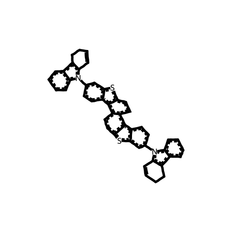 C1=Cc2c(c3ccccc3n2-c2ccc3c(c2)sc2ccc4c(ccc5sc6cc(-n7c8c(c9ccccc97)CCC=C8)ccc6c54)c23)CC1